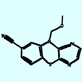 COCN1c2cc(C#N)ccc2Sc2nccnc21